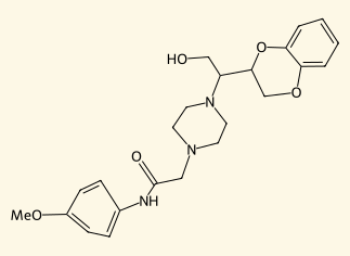 COc1ccc(NC(=O)CN2CCN(C(CO)C3COc4ccccc4O3)CC2)cc1